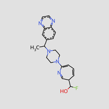 CC(c1ccc2nccnc2c1)N1CCN(C2=CC=CC(C(O)F)C=N2)CC1